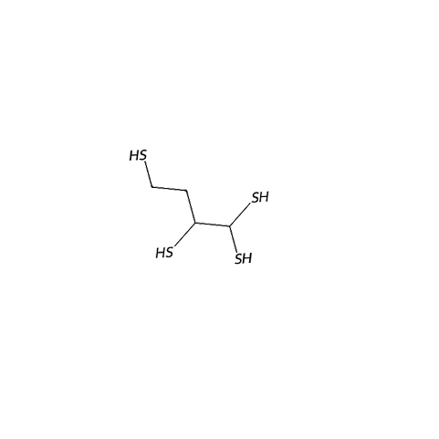 SCCC(S)C(S)S